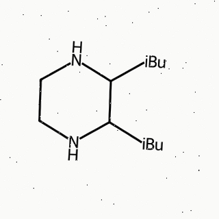 CCC(C)C1NCCNC1C(C)CC